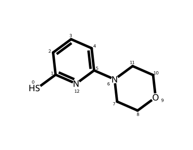 Sc1cccc(N2CCOCC2)n1